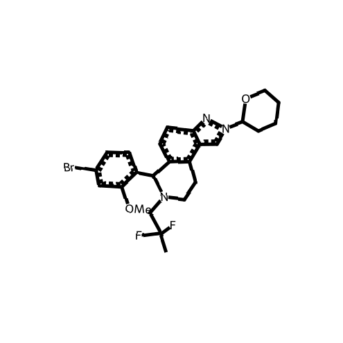 COc1cc(Br)ccc1C1c2ccc3nn(C4CCCCO4)cc3c2CCN1CC(C)(F)F